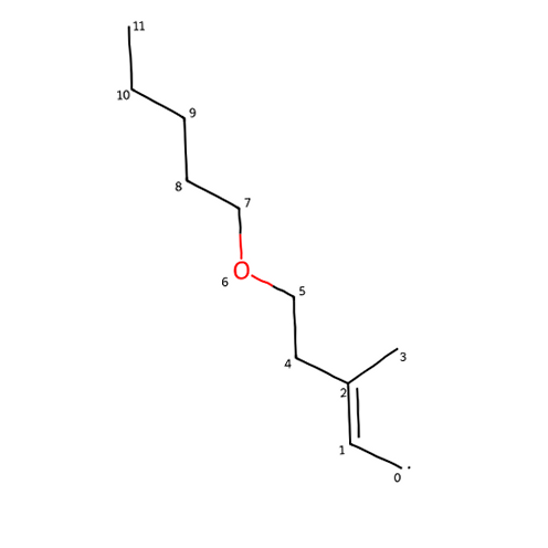 [CH2]/C=C(\C)CCOCCCCC